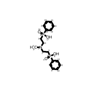 CN(CCP(=O)(O)c1ccccc1)CCP(=O)(O)c1ccccc1